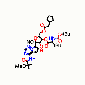 COC(C)(C)C(=O)Nc1ncnn2c([C@]3(C#N)O[C@H](COC(=O)CC4CCCC4)[C@@H](OC(=O)[C@@H](NC(=O)OC(C)(C)C)C(C)(C)C)[C@H]3O)ccc12